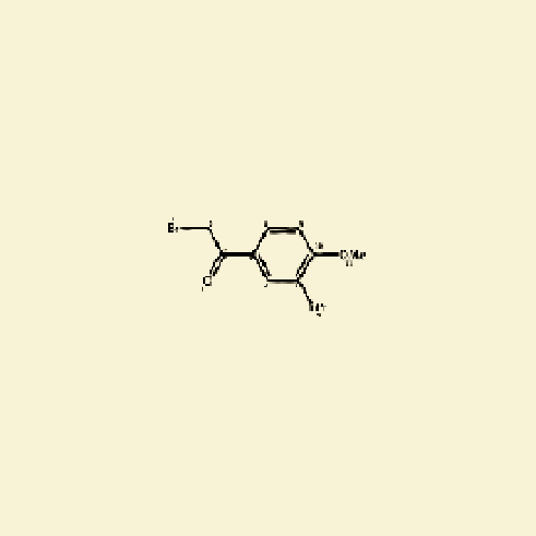 CCCc1cc(C(=O)CBr)ccc1OC